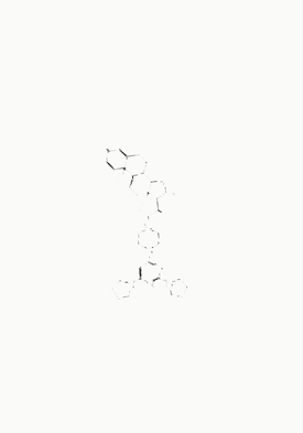 C[C@@H]1CC2C3CCC4=CC(=O)C=CC4(C)C3=CCC2(C)C1C(=O)CN1CCN(c2cc(N3CCCC3)nc(N3CCCC3)n2)CC1